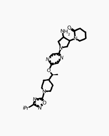 CC(C)c1noc(N2CCC([C@H](C)Oc3cnc(N4CC(N)C(N5CCCCC5=O)C4)cn3)CC2)n1